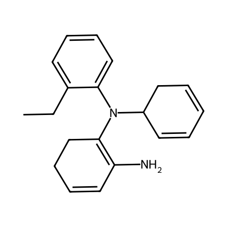 CCc1ccccc1N(C1=C(N)C=CCC1)C1C=CC=CC1